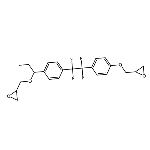 CCC(OCC1CO1)c1ccc(C(F)(F)C(F)(F)c2ccc(OCC3CO3)cc2)cc1